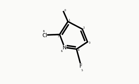 Cc1ccc(F)nc1Cl